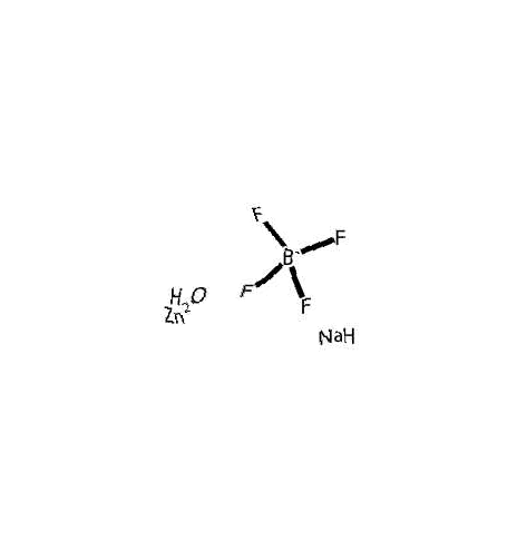 F[B-](F)(F)F.O.[NaH].[Zn]